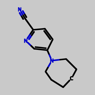 N#Cc1ccc(N2CCCCCC2)cn1